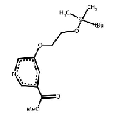 COC(=O)c1cncc(OCCO[Si](C)(C)C(C)(C)C)c1